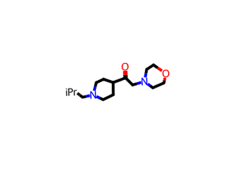 CC(C)CN1CCC(C(=O)CN2CCOCC2)CC1